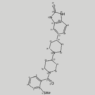 CSc1ccccc1C(=O)N1CCC(N2CCC(c3ccc4c(c3)[N]C(=O)N4)CC2)CC1